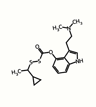 CC(SSC(=O)Oc1cccc2[nH]cc(CCN(C)C)c12)C1CC1